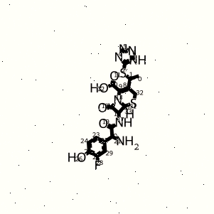 CC(Sc1nnn[nH]1)C1=C(C(=O)O)N2C(=O)C(NC(=O)C(N)c3ccc(O)c(F)c3)[C@@H]2SC1